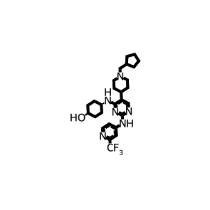 O[C@H]1CC[C@H](Nc2nc(Nc3ccnc(C(F)(F)F)c3)ncc2C2CCN(CC3CCCC3)CC2)CC1